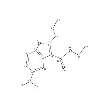 CCCc1oc2ccc(C(C)C)cc2c1C(=O)OCC